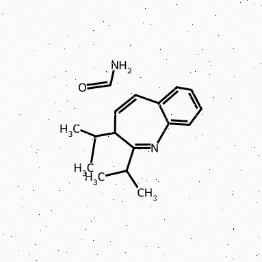 CC(C)C1=Nc2ccccc2C=CC1C(C)C.NC=O